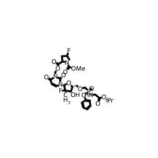 COC(=O)N1CC(F)CC1C(=O)OCn1c(=O)ccn([C@@H]2O[C@H](COCP(=O)(NCC(=O)OC(C)C)Oc3ccccc3)[C@@H](O)[C@@]2(C)F)c1=O